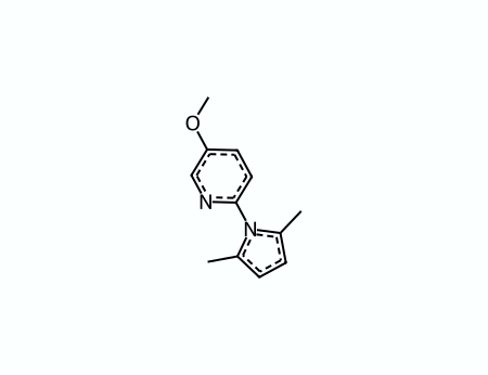 COc1ccc(-n2c(C)ccc2C)nc1